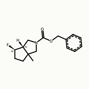 CC12CC[C@@H](F)[C@@H]1CN(C(=O)OCc1ccccc1)C2